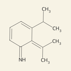 CC(C)=C1C(=N)C=CC=C1C(C)C